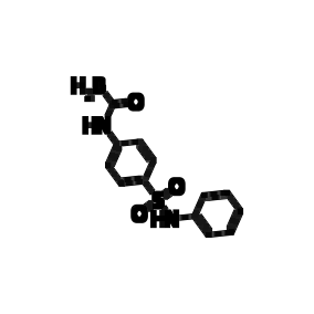 BC(=O)Nc1ccc(S(=O)(=O)Nc2ccccc2)cc1